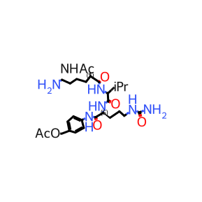 CC(=O)N[C@@H](CCCCN)C(=O)NC(C(=O)N[C@@H](CCCNC(N)=O)C(=O)Nc1ccc(COC(C)=O)cc1)C(C)C